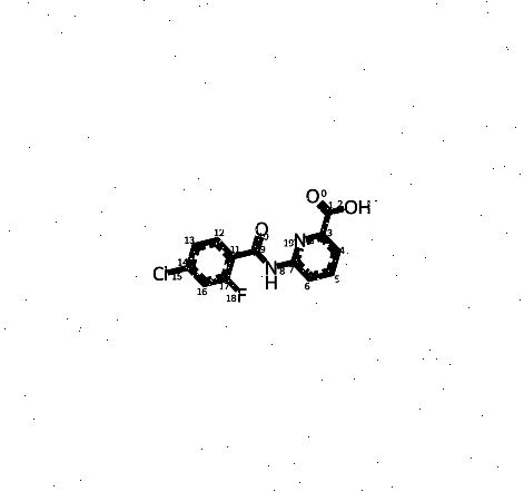 O=C(O)c1cccc(NC(=O)c2ccc(Cl)cc2F)n1